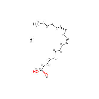 CCCCC/C=C\C/C=C\CCCCCCCC(=O)O.[H+]